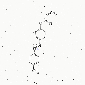 C=CC(=O)Oc1ccc(/N=N/c2ccc(C)cc2)cc1